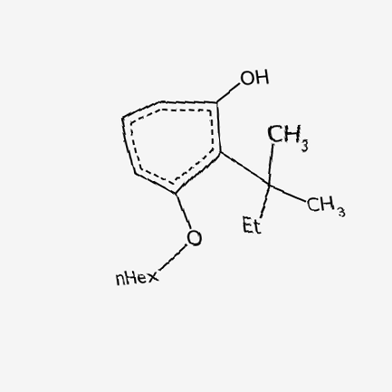 CCCCCCOc1cccc(O)c1C(C)(C)CC